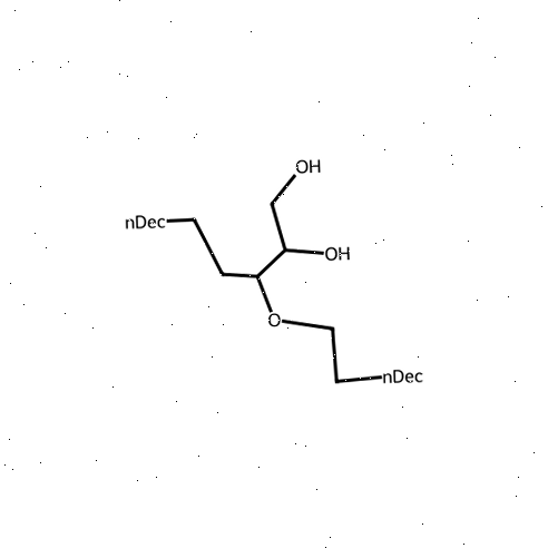 CCCCCCCCCCCCOC(CCCCCCCCCCCC)C(O)CO